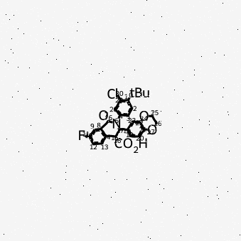 CC(C)(C)c1ccc(N2C(=O)c3cc(F)ccc3C(C(=O)O)C2c2ccc3c(c2)OCCO3)cc1Cl